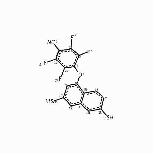 N#Cc1c(F)c(F)c(Oc2cc(S)cc3cc(S)ccc23)c(F)c1F